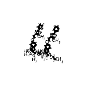 CCCON=C(C)C(C)(Cc1ccc(OCCc2nc(-c3ccccc3)oc2C)cc1)C(=O)O.CON=C(C)C(C)(Cc1ccc(OCCc2nc(-c3cccs3)oc2C)cc1)C(=O)O